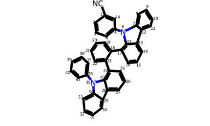 N#Cc1cccc(-n2c3ccccc3c3cccc(-c4ccccc4-c4cccc5c6ccccc6n(-c6ccccc6)c45)c32)c1